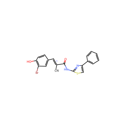 N#C/C(=C\c1ccc(O)c(Br)c1)C(=O)Nc1nc(-c2ccccc2)cs1